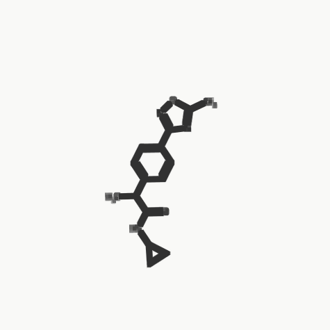 CC(C(=O)NC1CC1)c1ccc(-c2noc(C(F)(F)F)n2)cc1